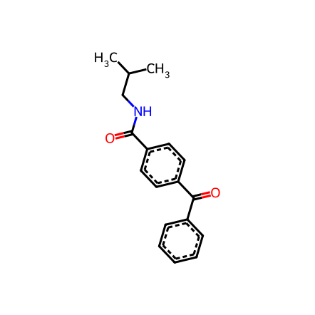 CC(C)CNC(=O)c1ccc(C(=O)c2ccccc2)cc1